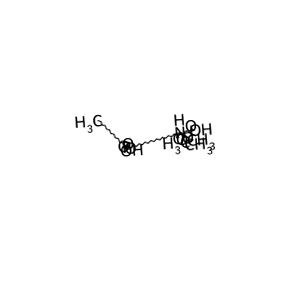 CCCCCCCCCCCCOP(=O)(O)OCCCCCCCCCCCCCCCC(=O)NC(CCC(=O)O)C(=O)OC(C)(C)C